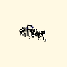 Cc1cc(C(C)N2CC3=C(/C=C\CC/C=C3/NC(=O)c3cnco3)C2=O)cnc1OC1CCC1